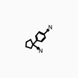 N#Cc1ccc(C2(C#N)CCCC2)cc1